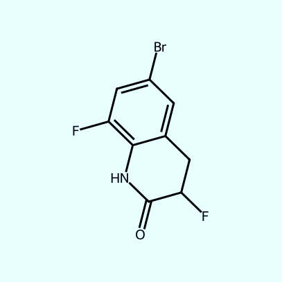 O=C1Nc2c(F)cc(Br)cc2CC1F